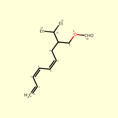 C=C/C=C\C=C/CC(COC=O)C(CC)CC